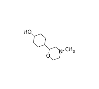 CN1CCOC(C2CCC(O)CC2)C1